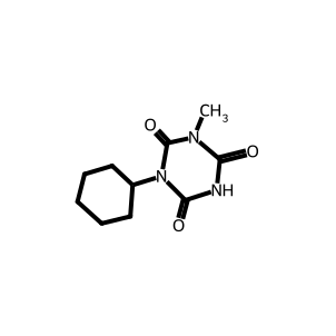 Cn1c(=O)[nH]c(=O)n(C2CCCCC2)c1=O